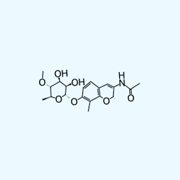 CO[C@@H]1[C@@H](O)[C@@H](O)[C@H](Oc2ccc3c(c2C)OCC(NC(C)=O)=C3)O[C@H]1C